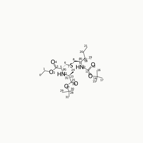 CCOC(=O)[C@H](CSC[C@H](NC(=O)OC(C)(C)C)[C@@H](C)CC)N[C@@H](C)C(=O)OC(C)(C)C